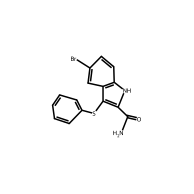 NC(=O)c1[nH]c2ccc(Br)cc2c1Sc1ccccc1